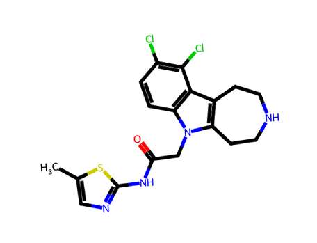 Cc1cnc(NC(=O)Cn2c3c(c4c(Cl)c(Cl)ccc42)CCNCC3)s1